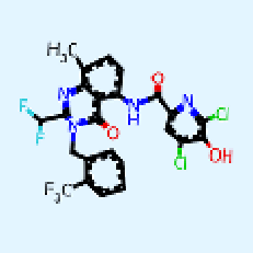 Cc1ccc(NC(=O)c2cc(Cl)c(O)c(Cl)n2)c2c(=O)n(Cc3ccccc3C(F)(F)F)c(C(F)F)nc12